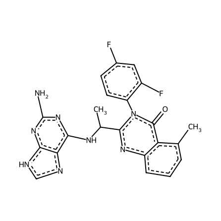 Cc1cccc2nc(C(C)Nc3nc(N)nc4[nH]cnc34)n(-c3ccc(F)cc3F)c(=O)c12